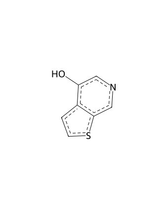 Oc1cncc2sccc12